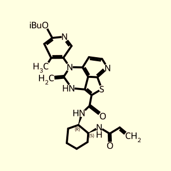 C=CC(=O)N[C@H]1CCCC[C@H]1NC(=O)c1sc2nccc3c2c1[nH]c(=C)n3-c1cnc(OCC(C)C)cc1C